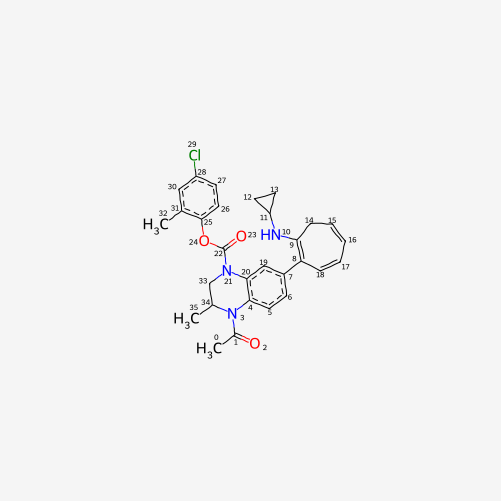 CC(=O)N1c2ccc(C3=C(NC4CC4)CC=CC=C3)cc2N(C(=O)Oc2ccc(Cl)cc2C)CC1C